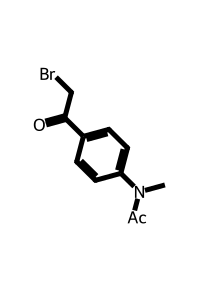 CC(=O)N(C)c1ccc(C(=O)CBr)cc1